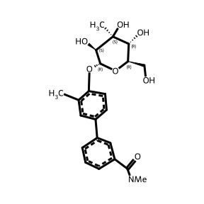 CNC(=O)c1cccc(-c2ccc(O[C@H]3O[C@H](CO)[C@@H](O)[C@](C)(O)[C@@H]3O)c(C)c2)c1